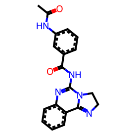 CC(=O)Nc1cccc(C(=O)NC2=Nc3ccccc3C3=NCCN23)c1